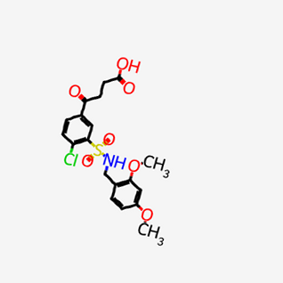 COc1ccc(CNS(=O)(=O)c2cc(C(=O)CCC(=O)O)ccc2Cl)c(OC)c1